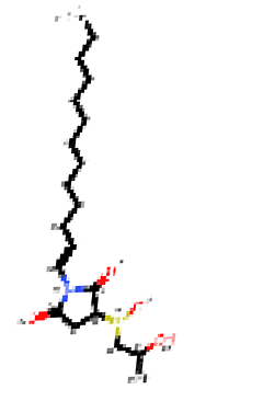 CCCCCCCCCCCCCCCCCCCCC=CN1C(=O)CC([S+]([O-])CC(O)CC)C1=O